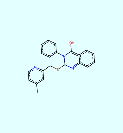 Cc1ccnc(CSC2N=c3ccccc3=C(O)N2c2ccccc2)c1